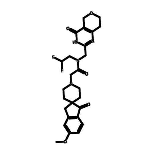 COc1ccc2c(c1)CC1(CCN(CC(=O)N(Cc3nc4c(c(=O)[nH]3)COCC4)CC(F)F)CC1)C2=O